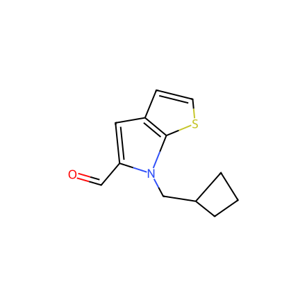 O=Cc1cc2ccsc2n1CC1CCC1